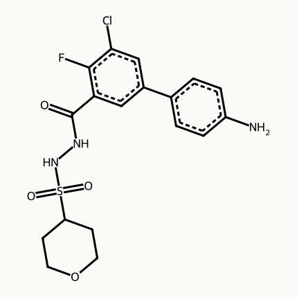 Nc1ccc(-c2cc(Cl)c(F)c(C(=O)NNS(=O)(=O)C3CCOCC3)c2)cc1